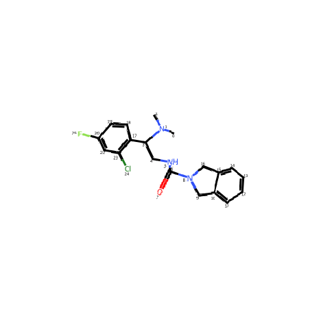 CN(C)C(CNC(=O)N1Cc2ccccc2C1)c1ccc(F)cc1Cl